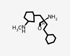 CNC1CCCC(C[C@@](N)(C=O)CCC2CCCCC2)C1